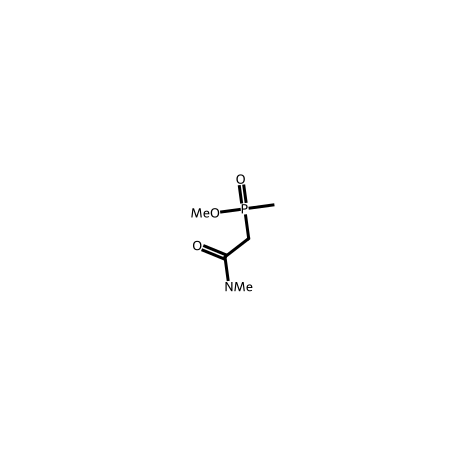 CNC(=O)CP(C)(=O)OC